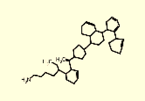 C=C(C1CCC(C2CCC(C3CC=CC=C3C3C=CCCC3)C3C=CCCC32)CC1)C1C=CCCC1C(CC)CCCCN